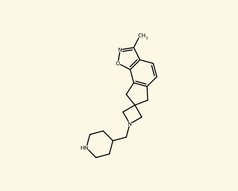 Cc1noc2c3c(ccc12)CC1(C3)CN(CC2CCNCC2)C1